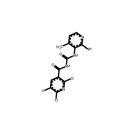 Cc1ccnc(C(C)C)c1NC(=O)NC(=O)c1cc(F)c(Cl)nc1Cl